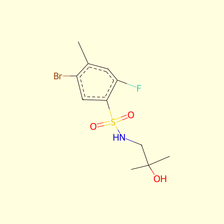 Cc1cc(F)c(S(=O)(=O)NCC(C)(C)O)cc1Br